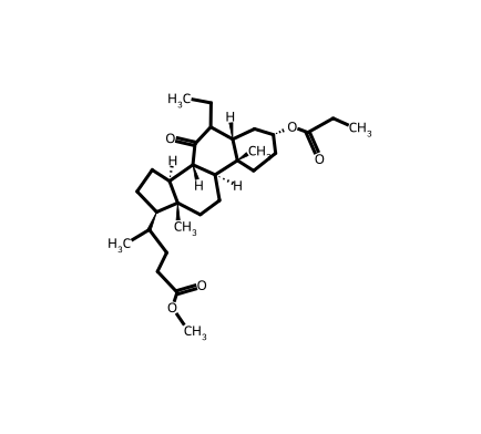 CCC(=O)O[C@@H]1CC[C@@]2(C)[C@@H](C1)C(CC)C(=O)[C@@H]1[C@@H]2CC[C@]2(C)[C@@H](C(C)CCC(=O)OC)CC[C@@H]12